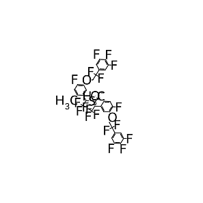 Cc1cc(F)c(OCC(F)(F)c2cc(F)c(F)c(F)c2)cc1C([S+]([O-])C(c1cc(OCC(F)(F)c2cc(F)c(F)c(F)c2)c(F)cc1C)C(F)(F)F)C(F)(F)F